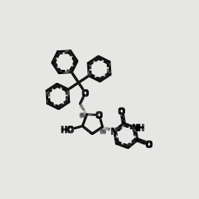 O=c1ccn([C@@H]2CC(O)[C@H](COC(c3ccccc3)(c3ccccc3)c3ccccc3)O2)c(=O)[nH]1